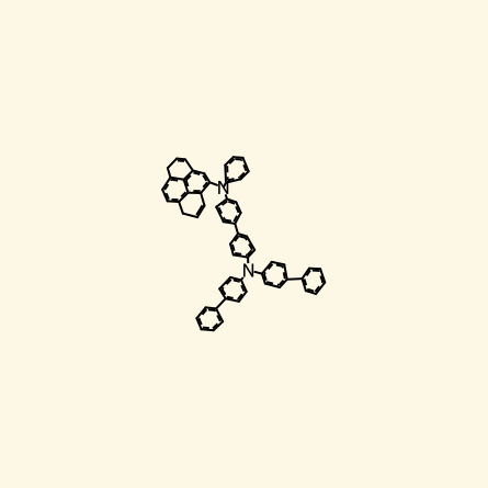 C1=Cc2cc(N(c3ccccc3)c3ccc(-c4ccc(N(c5ccc(-c6ccccc6)cc5)c5ccc(-c6ccccc6)cc5)cc4)cc3)c3c4c(ccc(c24)C1)CC=C3